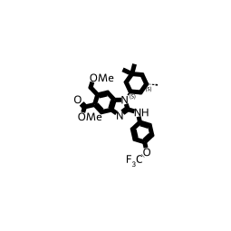 COCc1cc2c(cc1C(=O)OC)nc(Nc1ccc(OC(F)(F)F)cc1)n2[C@H]1C[C@@H](C)CC(C)(C)C1